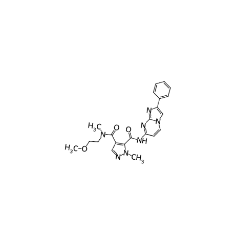 COCCN(C)C(=O)c1cnn(C)c1C(=O)Nc1ccn2cc(-c3ccccc3)nc2n1